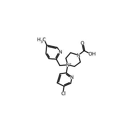 Cc1ccc(C[N+]2(c3ccc(Cl)cn3)CCN(C(=O)O)CC2)nc1